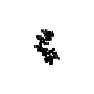 Nc1nc2c(ncn2[C@@H]2O[C@H](COP(=O)(O)COC3[C@@H](CO)O[C@@H](n4cnc5c(=O)[nH]c(N)nc54)[C@H]3O)C(O)C2OC[PH](=O)O)c(=O)[nH]1